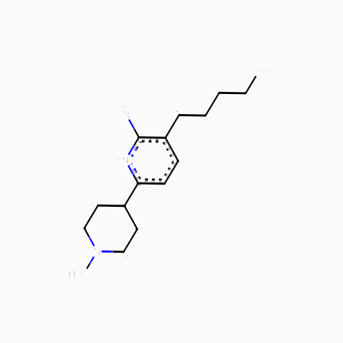 CCCCCc1ccc(C2CCN(C)CC2)nc1N